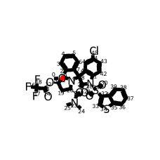 COc1ccccc1C1(N2C[C@H](OC(=O)C(F)(F)F)C[C@H]2C(=O)N(C)C)C(=O)N(S(=O)(=O)c2csc3ccccc23)c2ccc(Cl)cc21